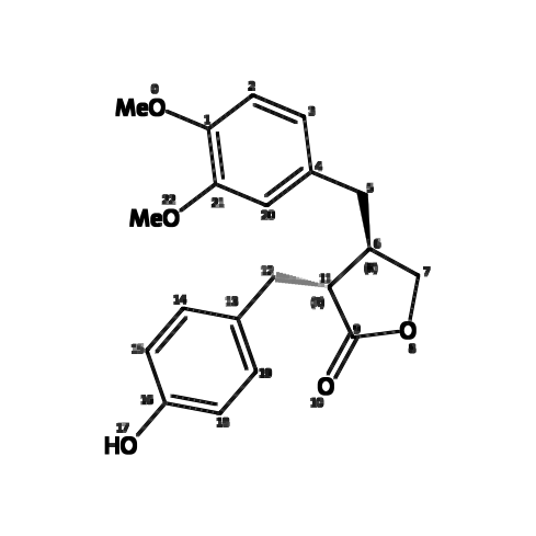 COc1ccc(C[C@H]2COC(=O)[C@@H]2Cc2ccc(O)cc2)cc1OC